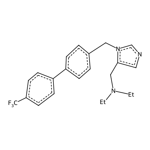 CCN(CC)Cc1cncn1Cc1ccc(-c2ccc(C(F)(F)F)cc2)cc1